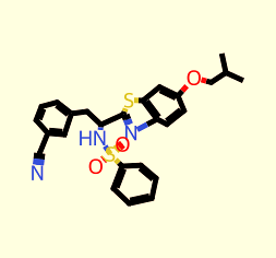 CC(C)COc1ccc2nc(C(Cc3cccc(C#N)c3)NS(=O)(=O)c3ccccc3)sc2c1